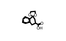 O=C(O)C1Cc2ccccc2C2(C1)OCCO2